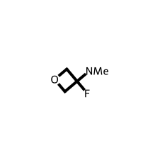 CNC1(F)COC1